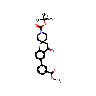 COC(=O)c1cccc(-c2ccc3c(c2)C(=O)CC2(CCN(C(=O)OC(C)(C)C)CC2)O3)c1